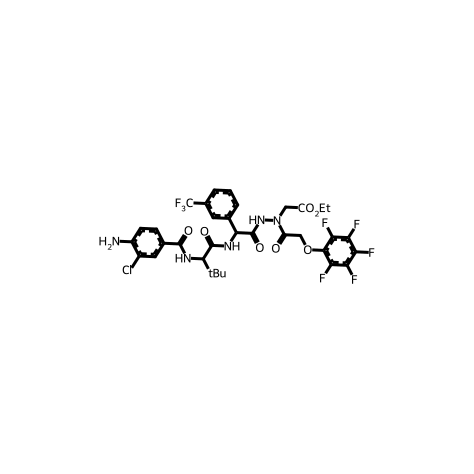 CCOC(=O)CN(NC(=O)C(NC(=O)C(NC(=O)c1ccc(N)c(Cl)c1)C(C)(C)C)c1cccc(C(F)(F)F)c1)C(=O)COc1c(F)c(F)c(F)c(F)c1F